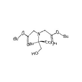 CC(C)(C)OC(=O)CN(CC(=O)OC(C)(C)C)[C@@](CO)(C(=O)O)C(C)(C)C